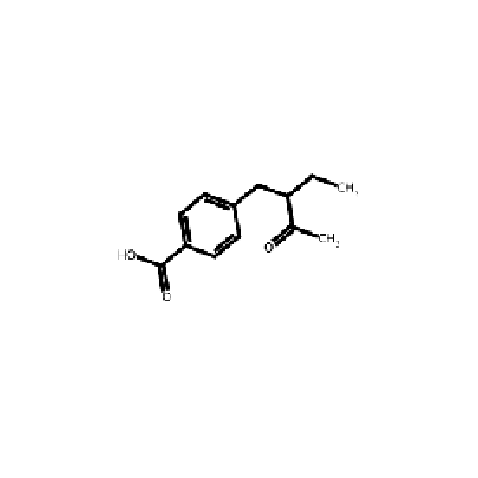 CCC(Cc1ccc(C(=O)O)cc1)C(C)=O